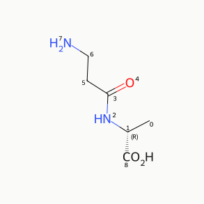 C[C@@H](NC(=O)CCN)C(=O)O